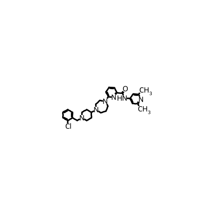 Cc1cc(NC(=O)c2cccc(N3CCCN(C4CCN(Cc5ccccc5Cl)CC4)CC3)n2)cc(C)n1